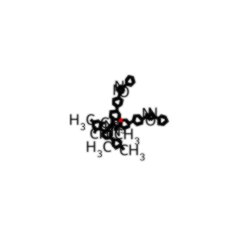 Cc1cc(C)c(-c2ccc(-c3c(C)cc(C)cc3C)c3nc(-c4ccc(-c5ccc(-c6nnc(-c7ccccc7)o6)cc5)cc4)c(-c4ccc(-c5ccc(-c6nnc(-c7ccccc7)o6)cc5)cc4)nc23)c(C)c1